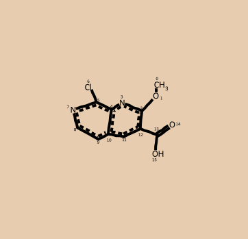 COc1nc2c(Cl)nccc2cc1C(=O)O